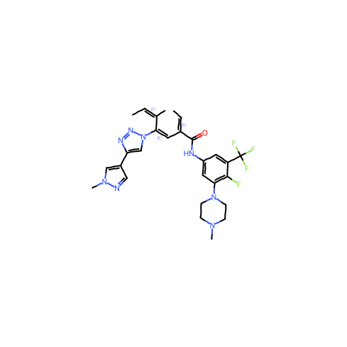 C\C=C(C)/C(=C\C(=C/C)C(=O)Nc1cc(N2CCN(C)CC2)c(F)c(C(F)(F)F)c1)n1cc(-c2cnn(C)c2)nn1